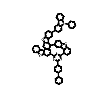 c1ccc(-c2ccc(-c3nc(-c4ccc5c(c4)oc4ccccc45)nc(-c4cccc5oc6ccc(-c7cccc8oc9ccc(-c%10ccc%11c(c%10)c%10ccccc%10n%11-c%10ccccc%10)cc9c78)cc6c45)n3)cc2)cc1